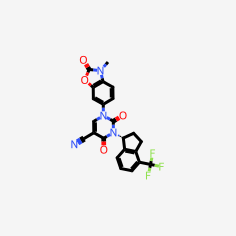 Cn1c(=O)oc2cc(-n3cc(C#N)c(=O)n([C@@H]4CCc5c4cccc5C(F)(F)F)c3=O)ccc21